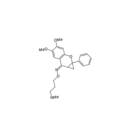 CNCCCON=C1c2cc(OC)c(OC)cc2OC2(c3ccccc3)CC12